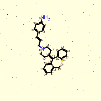 Nc1ccc(/C=C/CN2CCC(=C3c4ccccc4CSc4ccccc43)CC2)cc1